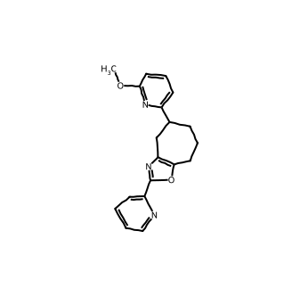 COc1cccc(C2CCCc3oc(-c4ccccn4)nc3C2)n1